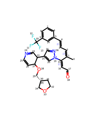 CC(=C/C=C/c1cccc(C(F)(F)F)c1)/C(=C\C=O)n1cc(C2C=NC=CC2OC[C@@H]2CCOC2)cn1